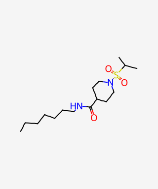 CCCCCCCNC(=O)C1CCN(S(=O)(=O)C(C)C)CC1